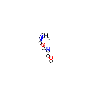 C[n+]1ccn(-c2cccc(Oc3cccc(-c4cc(-c5cccc(Oc6ccccc6)c5)ccn4)c3)c2)c1